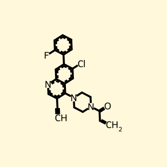 C#Cc1cnc2cc(-c3ccccc3F)c(Cl)cc2c1N1CCN(C(=O)C=C)CC1